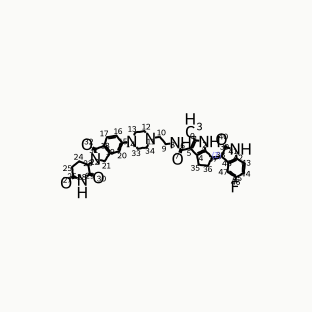 Cc1[nH]c2c(c1C(=O)NCCN1CCN(c3ccc4c(c3)CN(C3CCC(=O)NC3=O)C4=O)CC1)CC/C2=C1/C(=O)Nc2ccc(F)cc21